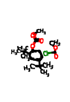 COC(=O)Cl.COC(=O)Oc1ccc(C(C)(C)C)cc1C(C)(C)C